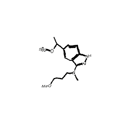 CCCCOC(C)c1ccc2[nH]nc(N(C)CCCOC)c2c1